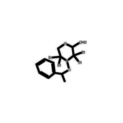 CCC1(CC)COC(C=O)C(CC)(CC)N1OC(C)c1ccccc1